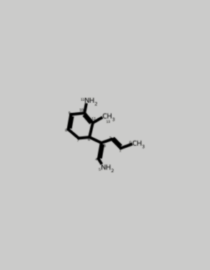 C/C=C/C(=C\N)C1CC=CC(N)=C1C